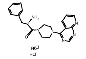 Cl.Cl.Cl.N[C@H](Cc1ccccc1)C(=O)N1CCN(c2ncnc3ncccc23)CC1